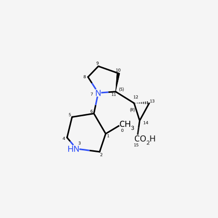 CC1CNCCC1N1CCC[C@H]1[C@@H]1CC1C(=O)O